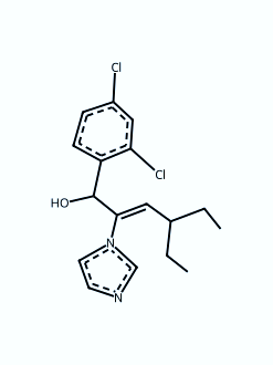 CCC(C=C(C(O)c1ccc(Cl)cc1Cl)n1ccnc1)CC